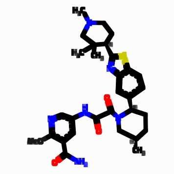 COc1ncc(NC(=O)C(=O)N2C[C@@H](C)CC[C@@H]2c2ccc3sc([C@@H]4CCN(C)CC4(C)C)nc3c2)cc1C(N)=O